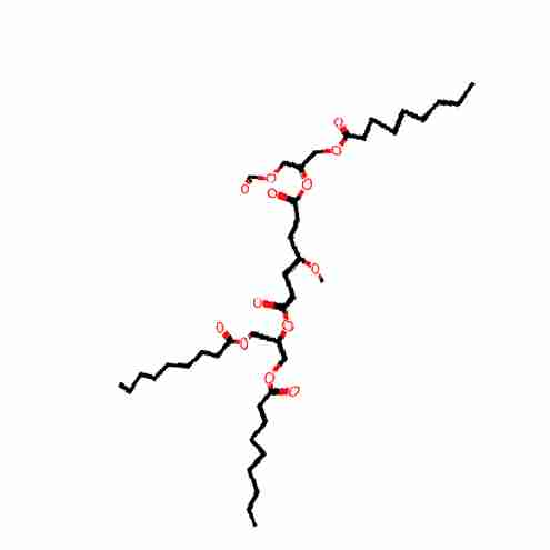 CCCCCCCCC(=O)OCC(COC=O)OC(=O)CCC(CCC(=O)OC(COC(=O)CCCCCCCC)COC(=O)CCCCCCCC)OC